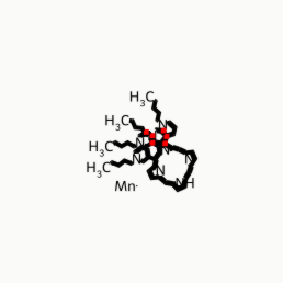 CCCCCN1C=CC=C(c2c(C3=CC=CN(CCCCC)C3)c3c(C4=CC=CN(CCCCC)C4)c4nc(cc5ccc(cc6nc(cc2n3C2=CC=CN(CCCCC)C2)C=C6)[nH]5)C=C4)C1.[Mn]